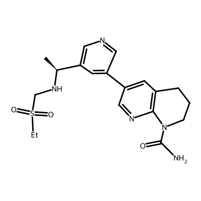 CCS(=O)(=O)CN[C@@H](C)c1cncc(-c2cnc3c(c2)CCCN3C(N)=O)c1